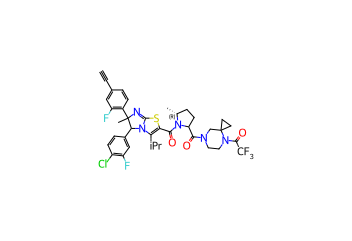 C#Cc1ccc(C2(C)N=C3SC(C(=O)N4C(C(=O)N5CCN(C(=O)C(F)(F)F)C6(CC6)C5)CC[C@H]4C)=C(C(C)C)N3C2c2ccc(Cl)c(F)c2)c(F)c1